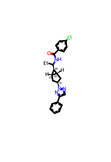 CCC(NC(=O)c1ccc(Cl)cc1)[C@H]1[C@@H]2C[C@@H](n3ncc(-c4ccccc4)n3)C[C@@H]21